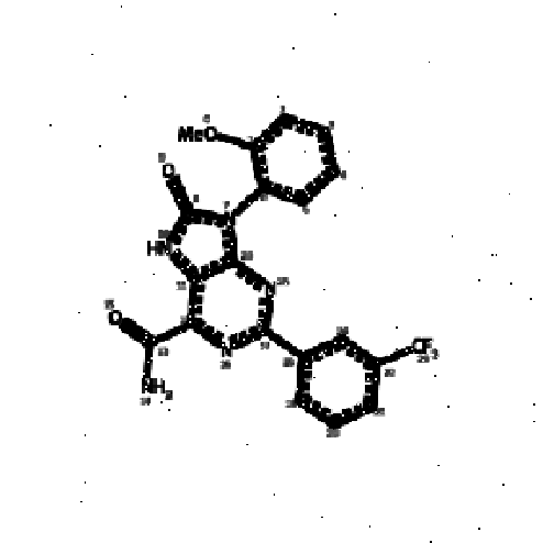 COc1ccccc1-n1c(=O)[nH]c2c(C(N)=O)nc(-c3cccc(C(F)(F)F)c3)nc21